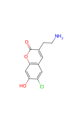 NCCc1cc2cc(Cl)c(O)cc2oc1=O